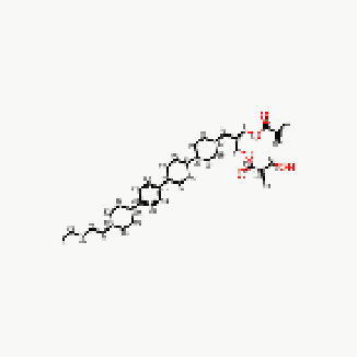 C=C(C)C(=O)OCC(COC(=O)C(=C)CO)CC1CCC(C2CCC(c3ccc(C4CCC(CCCCC)CC4)cc3)CC2)CC1